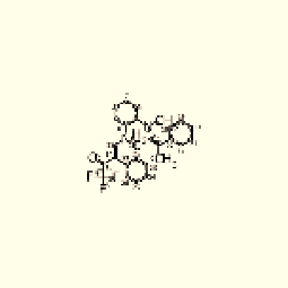 C/C(=C/N(C)c1ccccc1N(C)/C=C(/C(=O)C(F)(F)F)c1ccccc1)c1ccccc1